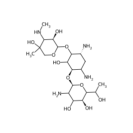 CNC1[C@@H](O)C(OC2C(O)[C@H](O[C@H]3OC(C(C)O)[C@@H](O)C(O)C3N)C(N)C[C@H]2N)OCC1(C)O